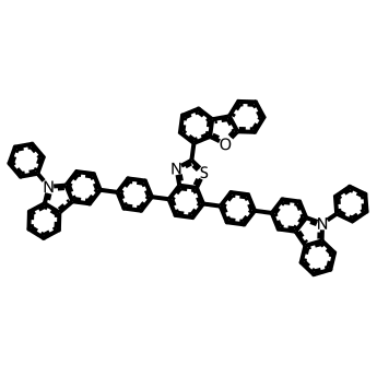 c1ccc(-n2c3ccccc3c3cc(-c4ccc(-c5ccc(-c6ccc(-c7ccc8c(c7)c7ccccc7n8-c7ccccc7)cc6)c6sc(-c7cccc8c7oc7ccccc78)nc56)cc4)ccc32)cc1